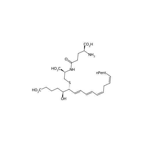 CCCCC/C=C\C\C=C/C=C/C=C/[C@@H](SC[C@H](NC(=O)CC[C@H](N)C(=O)O)C(=O)O)[C@@H](O)CCCC(=O)O